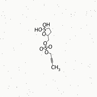 CC#CCOS(=O)(=O)OCC1CCS(O)(O)O1